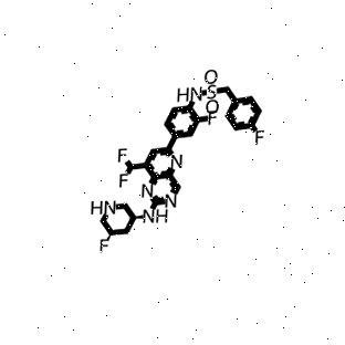 O=S(=O)(Cc1ccc(F)cc1)Nc1ccc(-c2cc(C(F)F)c3nc(N[C@@H]4CNC[C@@H](F)C4)ncc3n2)cc1F